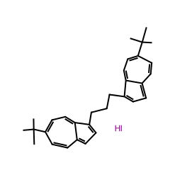 CC(C)(C)c1ccc2ccc(CCCc3ccc4ccc(C(C)(C)C)ccc3-4)c-2cc1.I